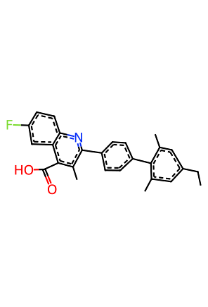 CCc1cc(C)c(-c2ccc(-c3nc4ccc(F)cc4c(C(=O)O)c3C)cc2)c(C)c1